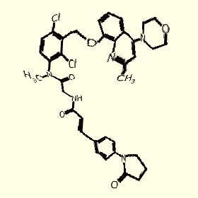 Cc1cc(N2CCOCC2)c2cccc(OCc3c(Cl)ccc(N(C)C(=O)CNC(=O)C=Cc4ccc(N5CCCC5=O)cc4)c3Cl)c2n1